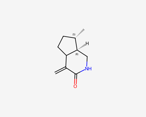 C=C1C(=O)NC[C@H]2C1CC[C@@H]2C